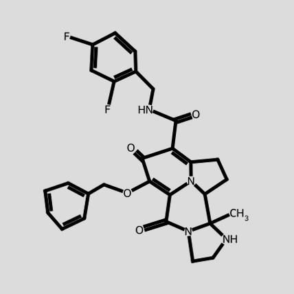 CC12NCCN1C(=O)c1c(OCc3ccccc3)c(=O)c(C(=O)NCc3ccc(F)cc3F)c3n1C2CC3